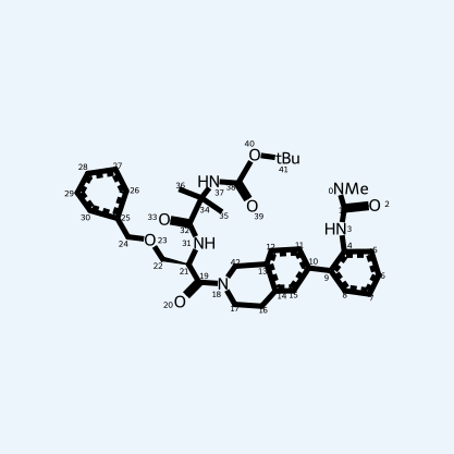 CNC(=O)Nc1ccccc1-c1ccc2c(c1)CCN(C(=O)[C@@H](COCc1ccccc1)NC(=O)C(C)(C)NC(=O)OC(C)(C)C)C2